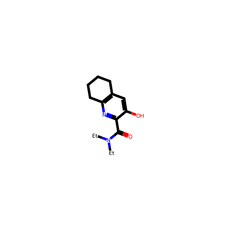 CCN(CC)C(=O)c1nc2c(cc1O)CCCC2